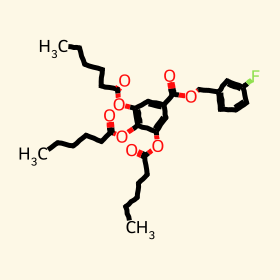 CCCCCC(=O)Oc1cc(C(=O)OCc2cccc(F)c2)cc(OC(=O)CCCCC)c1OC(=O)CCCCC